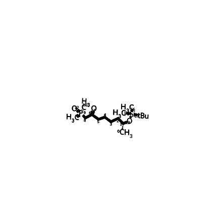 C[C@H](CCCCC(=O)CP(C)(C)=O)O[Si](C)(C)C(C)(C)C